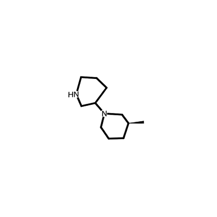 C[C@H]1CCCN(C2CCCNC2)C1